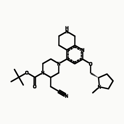 CN1CCC[C@H]1COc1cc(N2CCN(C(=O)OC(C)(C)C)C(CC#N)C2)c2c(n1)CNCC2